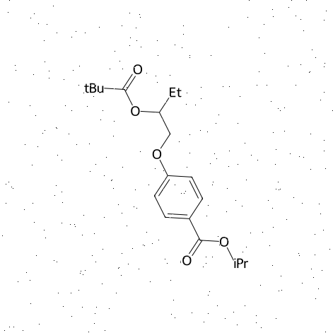 CCC(COc1ccc(C(=O)OC(C)C)cc1)OC(=O)C(C)(C)C